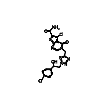 NC(=O)c1sc2ncn(Cc3nnn(C[C@H](O)c4ccc(Cl)cc4)n3)c(=O)c2c1Cl